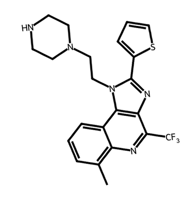 Cc1cccc2c1nc(C(F)(F)F)c1nc(-c3cccs3)n(CCN3CCNCC3)c12